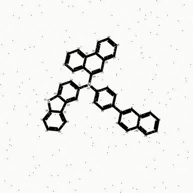 c1ccc2cc(-c3ccc(N(c4ccc5sc6ccccc6c5c4)c4cc5ccccc5c5ccccc45)cc3)ccc2c1